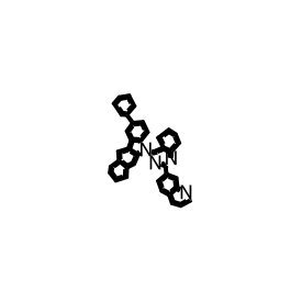 c1ccc(-c2ccc3c(c2)c2cc4ccccc4cc2n3-c2nc(-c3ccc4cccnc4c3)nc3ccccc23)cc1